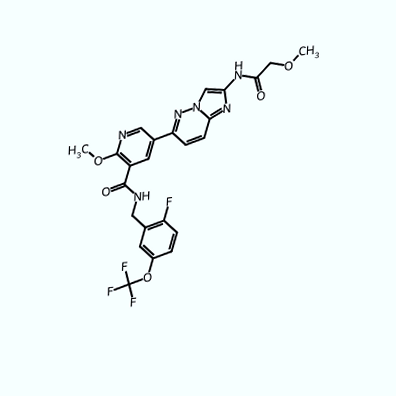 COCC(=O)Nc1cn2nc(-c3cnc(OC)c(C(=O)NCc4cc(OC(F)(F)F)ccc4F)c3)ccc2n1